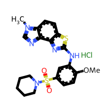 COc1ccc(S(=O)(=O)N2CCCCC2)cc1Nc1nc2c(ccc3c2ncn3C)s1.Cl